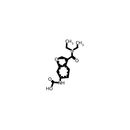 CCN(CC)C(=O)c1coc2cc(NC(=O)O)ccc12